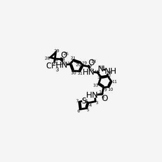 O=C(NCc1cccs1)c1ccc2[nH]nc(NC(=O)c3ccc(NC(=O)C4(C(F)(F)F)CC4)cc3)c2c1